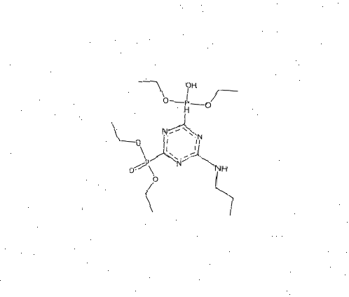 CCCNc1nc(P(=O)(OCC)OCC)nc([PH](O)(OCC)OCC)n1